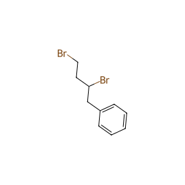 BrCCC(Br)Cc1ccccc1